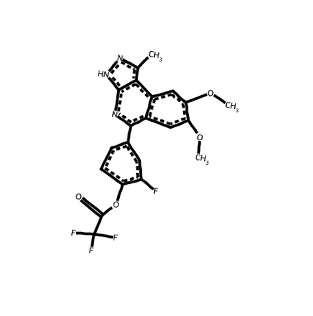 COc1cc2c(-c3ccc(OC(=O)C(F)(F)F)c(F)c3)nc3[nH]nc(C)c3c2cc1OC